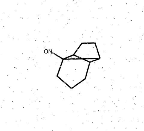 O=NC12CCCC3C1CCC32